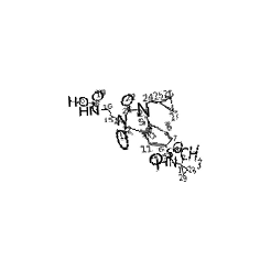 CC1(NS(=O)(=O)c2ccc3c(c2)c(=O)n(CCNC(=O)O)c(=O)n3CC2CC2)CC1